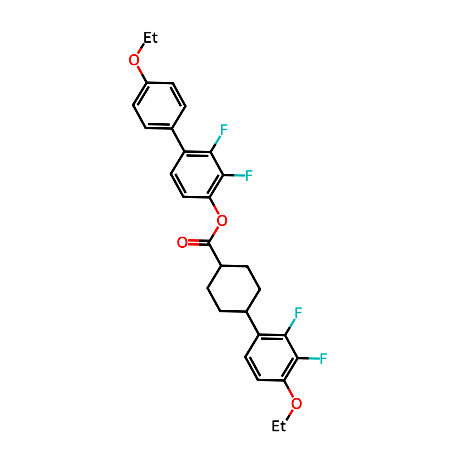 CCOc1ccc(-c2ccc(OC(=O)C3CCC(c4ccc(OCC)c(F)c4F)CC3)c(F)c2F)cc1